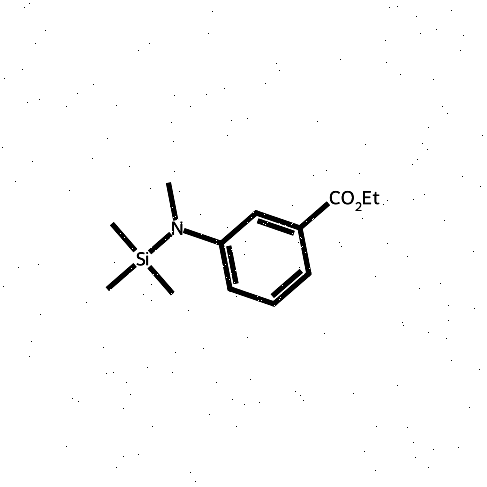 CCOC(=O)c1cccc(N(C)[Si](C)(C)C)c1